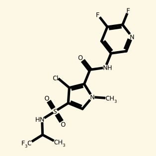 CC(NS(=O)(=O)c1cn(C)c(C(=O)Nc2cnc(F)c(F)c2)c1Cl)C(F)(F)F